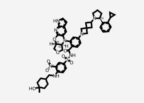 CC1(O)CCC(CNc2ccc(S(=O)(=O)NC(=O)c3ccc(N4CC5(CC(N6CCC[C@H]6c6ccccc6C6CC6)C5)C4)cc3N3c4cc5cc[nH]c5nc4O[C@H]4COC[C@@H]43)cc2[N+](=O)[O-])CC1